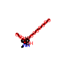 C=CCNC1CC[C@]23c4c5ccc(OCOCCOC)c4O[C@H]2[C@@H](OCCOCCOCCOCCOCCOCCOCCOC)CC[C@@]3(O)[C@H]1C5